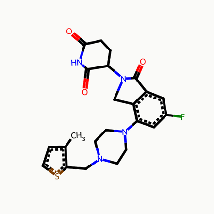 Cc1ccsc1CN1CCN(c2cc(F)cc3c2CN(C2CCC(=O)NC2=O)C3=O)CC1